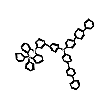 c1ccc(-c2ccc(-c3ccc(N(c4ccc(-c5ccc(-c6ccccc6)cc5)cc4)c4ccc(-c5cccc(N6c7ccccc7[Si](c7ccccc7)(c7ccccc7)c7ccccc76)c5)cc4)cc3)cc2)cc1